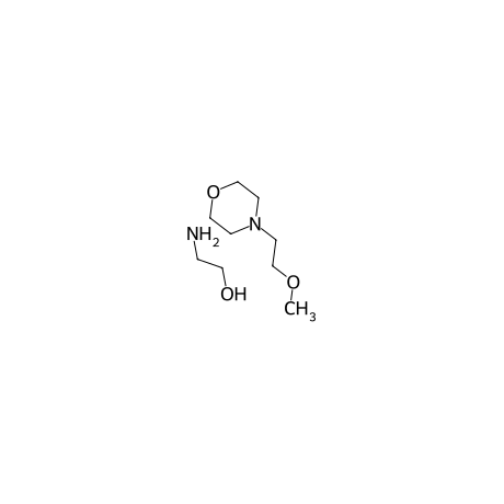 COCCN1CCOCC1.NCCO